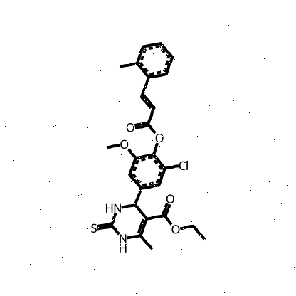 CCOC(=O)C1=C(C)NC(=S)NC1c1cc(Cl)c(OC(=O)/C=C/c2ccccc2C)c(OC)c1